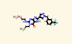 CCCn1c(NCCOC)nc2nc(-c3cnn(Cc4cccc(C(F)(F)F)c4)c3)[nH]c2c1=O